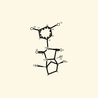 O=C1[C@H]2[C@@H]3CC[C@@H](C3)N2C(=O)N1c1cc(Cl)cc(Cl)c1